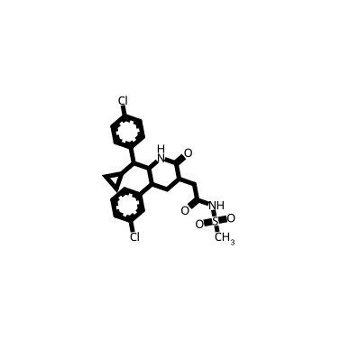 CS(=O)(=O)NC(=O)CC1CC(c2cccc(Cl)c2)C(C(c2ccc(Cl)cc2)C2CC2)NC1=O